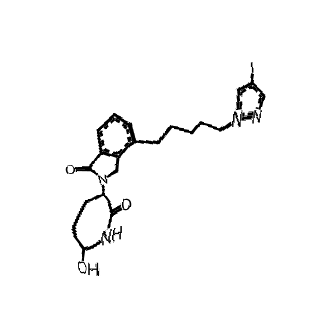 O=C1NC(O)CCC1N1Cc2c(CCCCCn3cc(I)cn3)cccc2C1=O